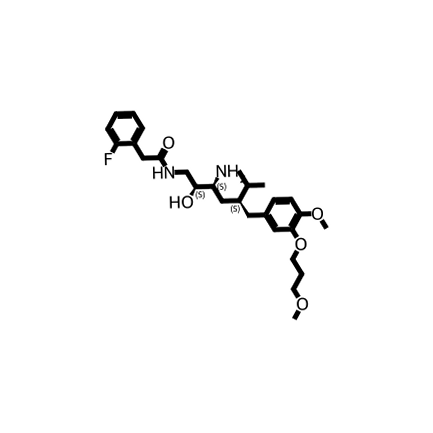 COCCCOc1cc(C[C@@H](C[C@H](N)[C@@H](O)CNC(=O)Cc2ccccc2F)C(C)C)ccc1OC